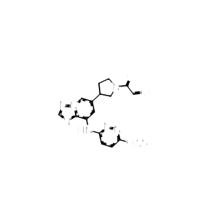 C=CC(=O)N1CCC(c2cc(Nc3ccc(OC)nn3)c3ncnn3c2)C1